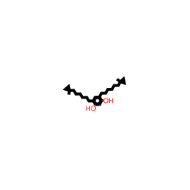 CC1(CCCCCCc2cc(CCCCCCC3(C)CC3)c(O)cc2O)CC1